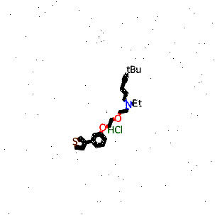 CCN(CC=CC#CC(C)(C)C)CCOCCOc1cccc(-c2ccsc2)c1.Cl